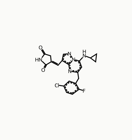 O=C1C/C(=C\c2cnn3c(NC4CC4)cc(Cc4cc(Cl)ccc4F)nc23)C(=O)N1